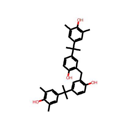 Cc1cc(C(C)(C)c2ccc(O)c(Cc3cc(C(C)(C)c4cc(C)c(O)c(C)c4)ccc3O)c2)cc(C)c1O